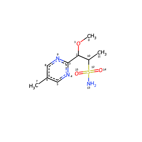 COC(c1ncc(C)cn1)C(C)S(N)(=O)=O